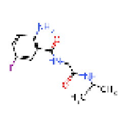 CC(C)NC(=O)CNC(=O)c1cc(I)ccc1N